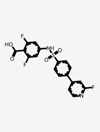 O=C(O)c1c(F)cc(NS(=O)(=O)c2ccc(-c3ccnc(F)c3)cc2)cc1F